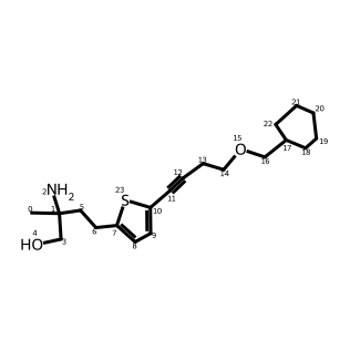 CC(N)(CO)CCc1ccc(C#CCCOCC2CCCCC2)s1